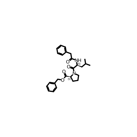 CC(C)C[C@H](NC(=O)Cc1ccccc1)C(=O)N1CCC[C@H]1C(=O)OCc1ccccc1